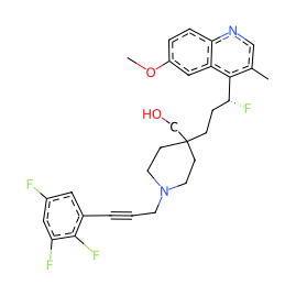 COc1ccc2ncc(C)c([C@H](F)CCC3(CO)CCN(CC#Cc4cc(F)cc(F)c4F)CC3)c2c1